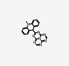 CN1c2ccccc2C(C2=NC3=NC=NC4=NC=NC(=N2)N43)c2ccccc21